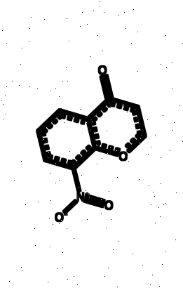 O=c1ccoc2c([N+](=O)[O-])cccc12